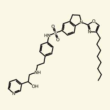 CCCCCCCCc1coc(N2CCc3cc(S(=O)(=O)Nc4ccc(CCNCC(O)c5cccnc5)cc4)ccc32)n1